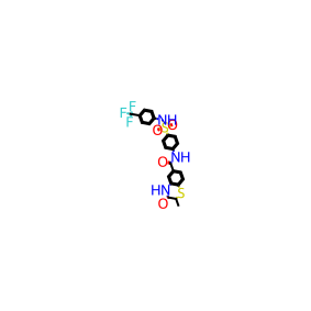 CC1Sc2ccc(C(=O)Nc3ccc(S(=O)(=O)Nc4ccc(C(F)(F)F)cc4)cc3)cc2NC1=O